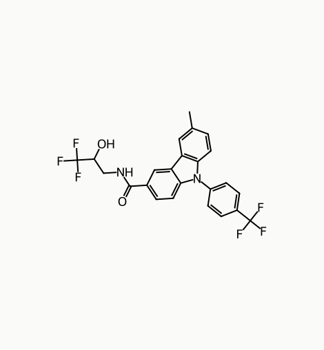 Cc1ccc2c(c1)c1cc(C(=O)NCC(O)C(F)(F)F)ccc1n2-c1ccc(C(F)(F)F)cc1